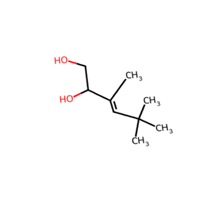 C/C(=C\C(C)(C)C)C(O)CO